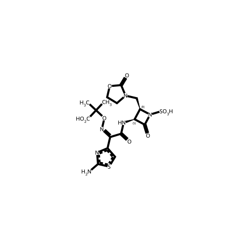 CC(C)(ON=C(C(=O)N[C@@H]1C(=O)N(S(=O)(=O)O)[C@@H]1CN1CCOC1=O)c1csc(N)n1)C(=O)O